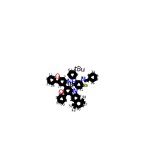 CC(C)(C)c1ccc(Nc2cc3oc4ccccc4c3cc2-c2c3c4c(c5cc6c(cc5n4-c4cc5sc(-c7ccccc7)nc5cc4B3)C(C)(C)CCC6(C)C)c3c2oc2ccccc23)cc1